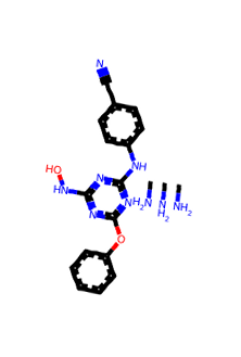 CN.CN.CN.N#Cc1ccc(Nc2nc(NO)nc(Oc3ccccc3)n2)cc1